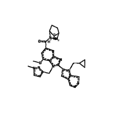 COc1cc(C(=O)N2CC3CCC2[C@@H]3N)cc2nc(-c3cc4ccccc4n3CC3CC3)n(Cc3ccn(C)n3)c12